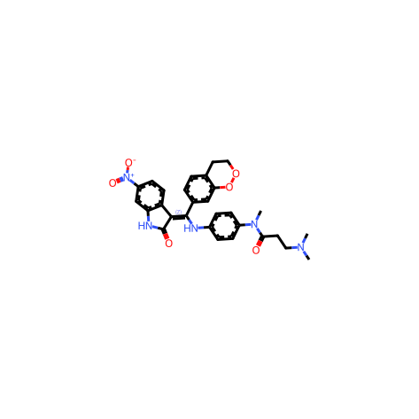 CN(C)CCC(=O)N(C)c1ccc(N/C(=C2\C(=O)Nc3cc([N+](=O)[O-])ccc32)c2ccc3c(c2)OOCC3)cc1